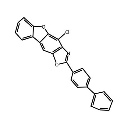 Clc1c2nc(-c3ccc(-c4ccccc4)cc3)oc2cc2c1oc1ccccc12